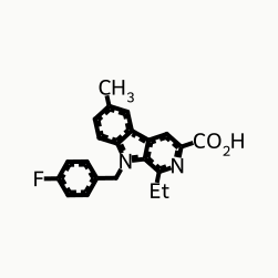 CCc1nc(C(=O)O)cc2c3cc(C)ccc3n(Cc3ccc(F)cc3)c12